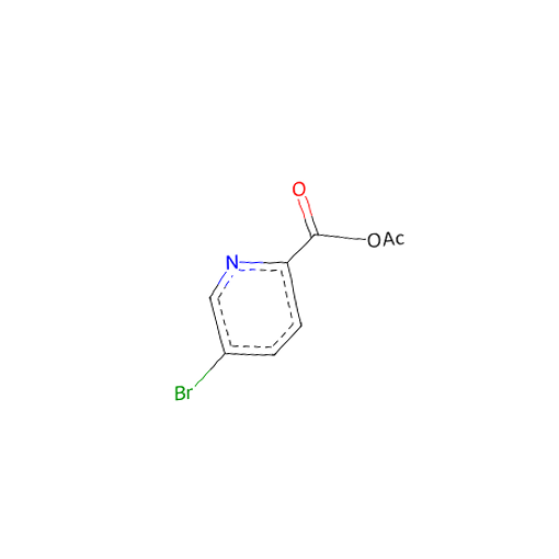 CC(=O)OC(=O)c1ccc(Br)cn1